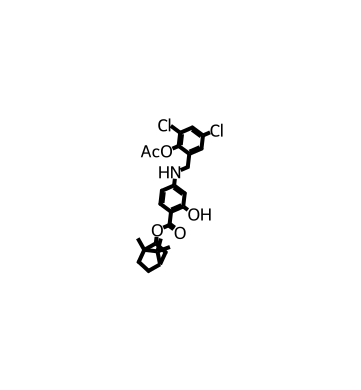 CC(=O)Oc1c(Cl)cc(Cl)cc1CNc1ccc(C(=O)OC2CC3CCC2(C)C3(C)C)c(O)c1